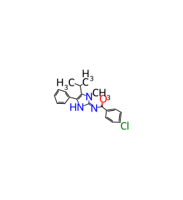 CC(C)c1c(-c2ccccc2)[nH]/c(=N/C(=O)c2ccc(Cl)cc2)n1C